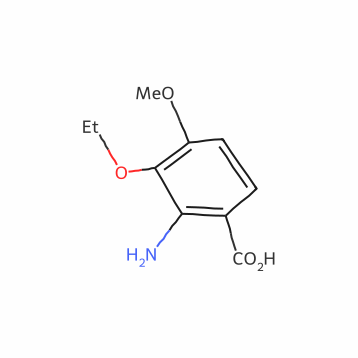 CCOc1c(OC)ccc(C(=O)O)c1N